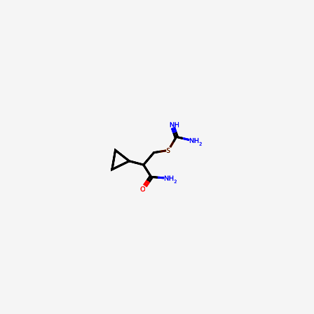 N=C(N)SCC(C(N)=O)C1CC1